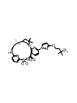 C[C@H]1CCNc2cccc(n2)S(=O)(=O)NC(=O)c2ccc(-n3ccc(OCCC(C)(C)C(F)(F)F)n3)nc2N2CC1CC2(C)C